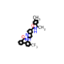 Cc1ccc([C@@H](C)NC(=O)c2ccc3nc(NC(=O)c4ccccc4-c4ccc(C(F)(F)F)cc4)ccc3c2)cc1